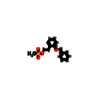 CS(=O)(=O)OCCc1ccccc1OCc1ccccc1